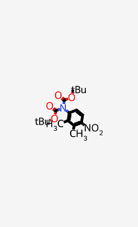 Cc1c(N(C(=O)OC(C)(C)C)C(=O)OC(C)(C)C)ccc([N+](=O)[O-])c1C